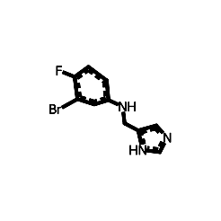 Fc1ccc(NCc2cnc[nH]2)cc1Br